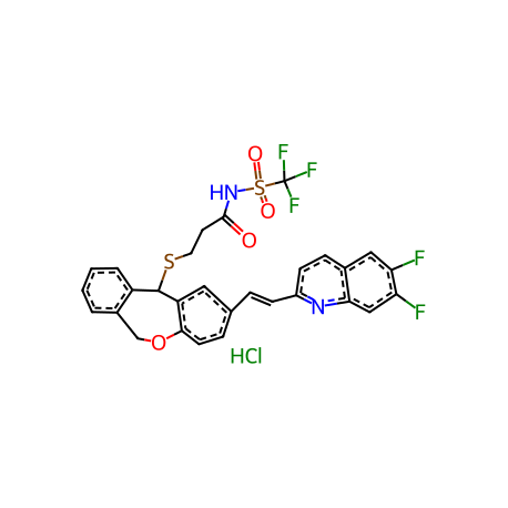 Cl.O=C(CCSC1c2ccccc2COc2ccc(C=Cc3ccc4cc(F)c(F)cc4n3)cc21)NS(=O)(=O)C(F)(F)F